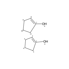 OC1=CCCC1.OC1=CCCC1